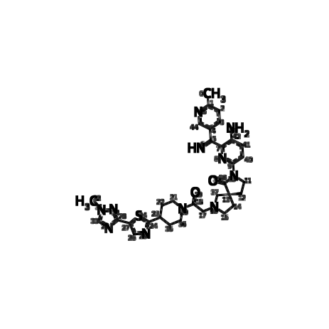 Cc1ccc(C(=N)c2nc(N3CC[C@]4(CCN(CC(=O)N5CCC(c6ncc(-c7ncn(C)n7)s6)CC5)C4)C3=O)ccc2N)cn1